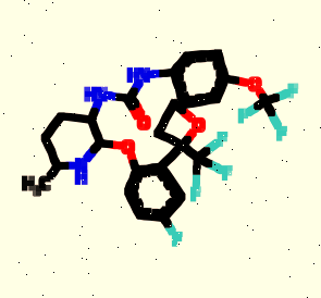 CC1CCC(NC(=O)Nc2ccc(OC(F)(F)F)cc2)C(Oc2ccc(F)cc2C2(C(F)(F)F)CCO2)N1